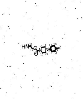 Cc1ccc(N2CCN(C(=O)OCC=N)CC2)cc1